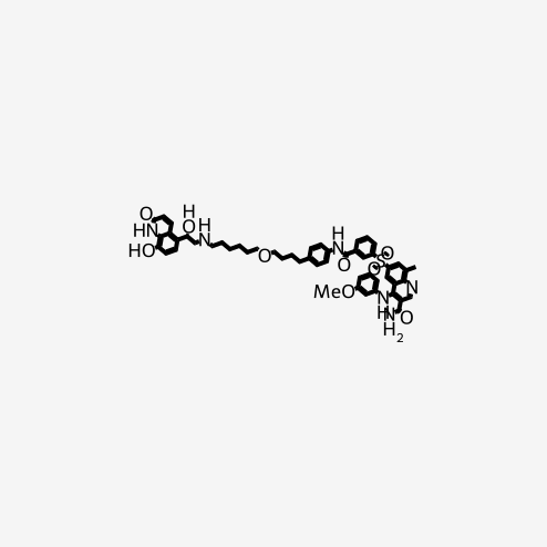 COc1cccc(Nc2c(C(N)=O)cnc3c(C)cc(S(=O)(=O)c4cccc(C(=O)Nc5ccc(CCCCOCCCCCCNC[C@H](O)c6ccc(O)c7[nH]c(=O)ccc67)cc5)c4)cc23)c1